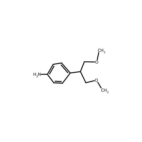 COCC(COC)c1ccc(N)cc1